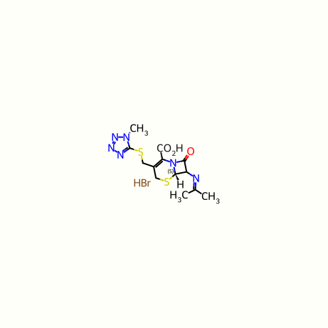 Br.CC(C)=NC1C(=O)N2C(C(=O)O)=C(CSc3nnnn3C)CS[C@@H]12